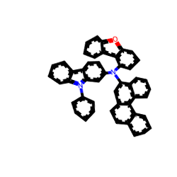 c1ccc(-n2c3ccccc3c3ccc(N(c4cc5ccc6ccccc6c5c5ccccc45)c4cccc5oc6ccccc6c45)cc32)cc1